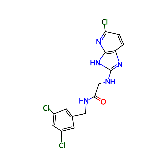 O=C(CNc1nc2ccc(Cl)nc2[nH]1)NCc1cc(Cl)cc(Cl)c1